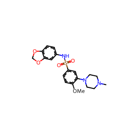 COc1ccc(S(=O)(=O)Nc2ccc3c(c2)OCO3)cc1N1CCN(C)CC1